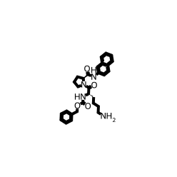 NCCCC[C@H](NC(=O)OCc1ccccc1)C(=O)N1CCC[C@H]1C(=O)Nc1ccc2ccccc2c1